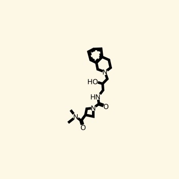 CN(C)C(=O)C1CN(C(=O)NCC(O)CN2CCc3ccccc3C2)C1